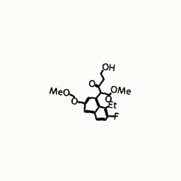 CCc1c(F)ccc2cc(OCOC)cc(C(C(=O)CCO)C(=O)OC)c12